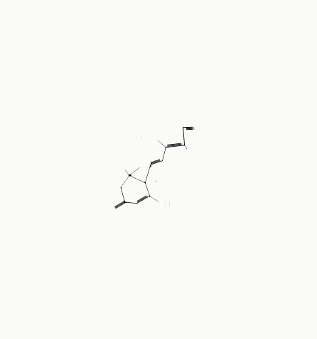 C=C/C(C(=O)O)=C(\C)C=C[C@@]1(O)C(C)=CC(=O)CC1(C)C